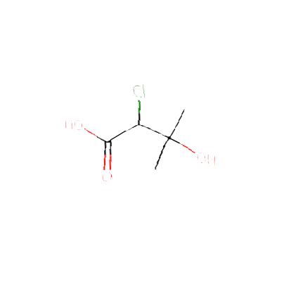 CC(C)(O)C(Cl)C(=O)O